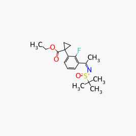 CCOC(=O)C1(c2cccc(/C(C)=N\[S@+]([O-])C(C)(C)C)c2F)CC1